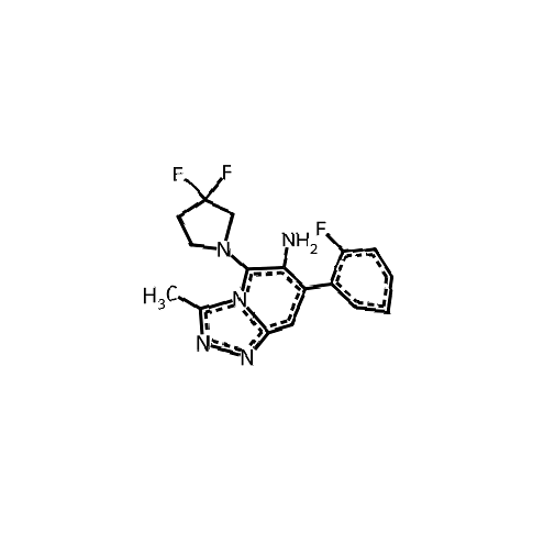 Cc1nnc2cc(-c3ccccc3F)c(N)c(N3CCC(F)(F)C3)n12